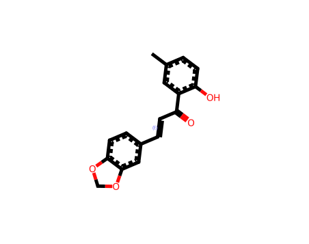 Cc1ccc(O)c(C(=O)/C=C/c2ccc3c(c2)OCO3)c1